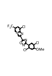 COc1cc(Cl)c(-c2noc(-c3cn4cc(C(F)(F)F)cc(Cl)c4n3)n2)cc1Cl